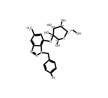 CCc1ccc(Cn2nnc3cc(C)cc(O[C@@]4(O)[C@H](O)O[C@@H](CO)[C@H](O)[C@H]4O)c32)cc1